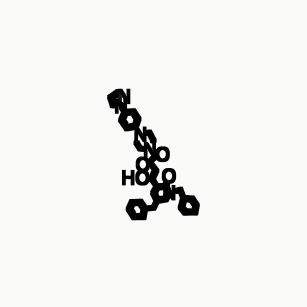 O=C(C=C(O)c1cc(Cc2ccccc2)cn(Cc2ccccc2)c1=O)C(=O)N1CCN(c2ccc(-n3cccn3)cc2)CC1